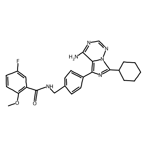 COc1ccc(F)cc1C(=O)NCc1ccc(-c2nc(C3CCCCC3)n3ncnc(N)c23)cc1